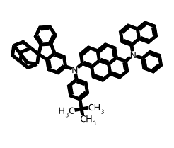 CC(C)(C)c1ccc(N(c2ccc3c(c2)-c2ccccc2C32C3CC4CC(C3)CC2C4)c2ccc3ccc4c(N(c5ccccc5)c5cccc6ccccc56)ccc5ccc2c3c54)cc1